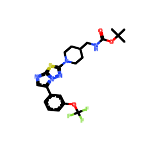 CC(C)(C)OC(=O)NCC1CCN(c2nn3c(-c4cccc(OC(F)(F)F)c4)cnc3s2)CC1